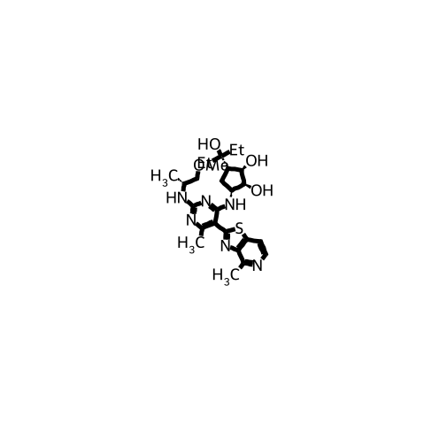 CCC(O)(CC)[C@H]1C[C@@H](Nc2nc(N[C@H](C)COC)nc(C)c2-c2nc3c(C)nccc3s2)[C@H](O)[C@@H]1O